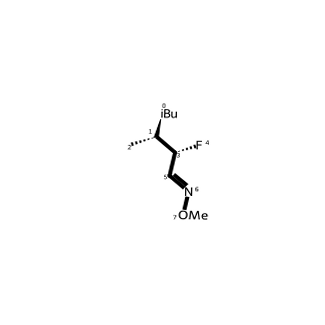 CC[C@H](C)[C@@H](C)[C@H](F)C=NOC